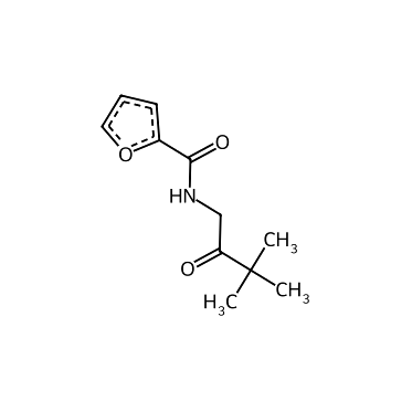 CC(C)(C)C(=O)CNC(=O)c1ccco1